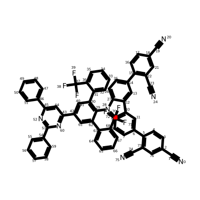 N#Cc1ccc(-c2ccc3c(c2)c2cc(-c4ccc(C#N)cc4C#N)ccc2n3-c2c(-c3ccccc3C(F)(F)F)cc(-c3cc(-c4ccccc4)nc(-c4ccccc4)n3)cc2-c2ccccc2C(F)(F)F)c(C#N)c1